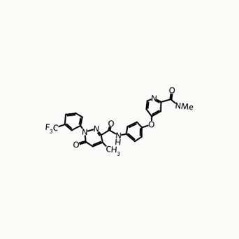 CNC(=O)c1cc(Oc2ccc(NC(=O)c3nn(-c4cccc(C(F)(F)F)c4)c(=O)cc3C)cc2)ccn1